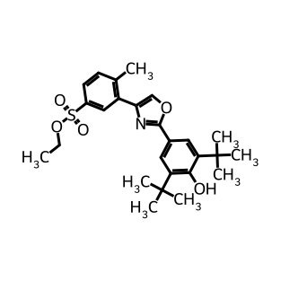 CCOS(=O)(=O)c1ccc(C)c(-c2coc(-c3cc(C(C)(C)C)c(O)c(C(C)(C)C)c3)n2)c1